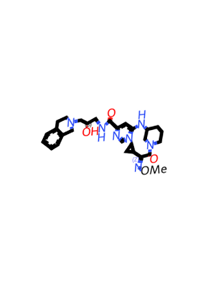 CO/N=C(\C(=O)N1CCCC(Nc2cc(C(=O)NC[C@H](O)CN3CCc4ccccc4C3)ncn2)C1)C1CC1